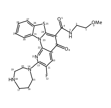 COCCNC(=O)c1c(=O)c2cc(F)c(N3CCCNCC3)nc2n2c1sc1ccccc12